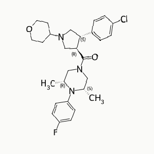 C[C@@H]1CN(C(=O)[C@H]2CN(C3CCOCC3)C[C@@H]2c2ccc(Cl)cc2)C[C@H](C)N1c1ccc(F)cc1